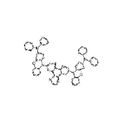 c1ccc(N(c2ccccc2)c2ccc3c(c2)Oc2ccccc2N3c2cnc3c(c2)c2nccnc2c2cc(N4c5ccccc5Oc5cc(N(c6ccccc6)c6ccccc6)ccc54)cnc23)cc1